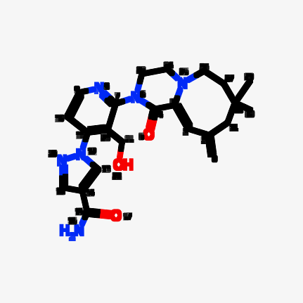 C=C1/C=C2/C(=O)N(c3nccc(-n4cc(C(N)=O)cn4)c3CO)CCN2CCC(C)(C)C1